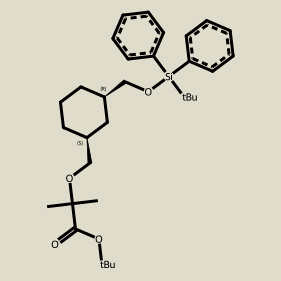 CC(C)(C)OC(=O)C(C)(C)OC[C@H]1CCC[C@@H](CO[Si](c2ccccc2)(c2ccccc2)C(C)(C)C)C1